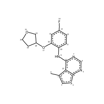 Cc1csc2ncnc(Nc3ccc(F)cc3OC3CCOC3)c12